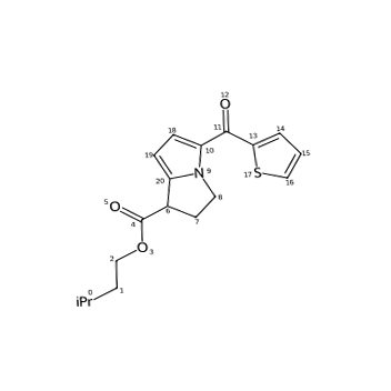 CC(C)CCOC(=O)C1CCn2c(C(=O)c3cccs3)ccc21